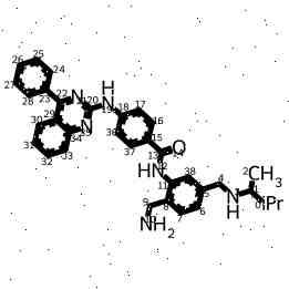 CC(C)C(C)NCc1ccc(CN)c(NC(=O)c2ccc(Nc3nc(-c4ccccc4)c4ccccc4n3)cc2)c1